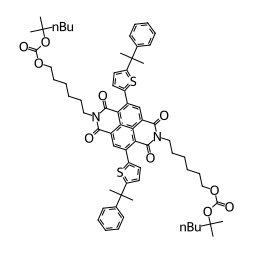 CCCCC(C)(C)OC(=O)OCCCCCCN1C(=O)c2cc(-c3ccc(C(C)(C)c4ccccc4)s3)c3c4c(cc(-c5ccc(C(C)(C)c6ccccc6)s5)c(c24)C1=O)C(=O)N(CCCCCCOC(=O)OC(C)(C)CCCC)C3=O